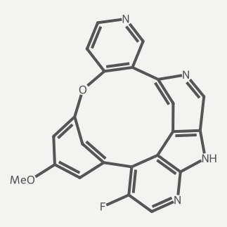 COc1cc2cc(c1)c1c(F)cnc3[nH]c4cnc(cc4c31)c1cnccc1o2